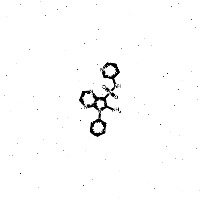 Nc1c(S(=O)(=O)Nc2cccnc2)c2nccnc2n1-c1ccccc1